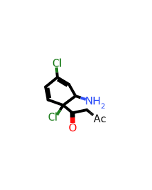 CC(=O)CC(=O)C1(Cl)C=CC(Cl)=CC1N